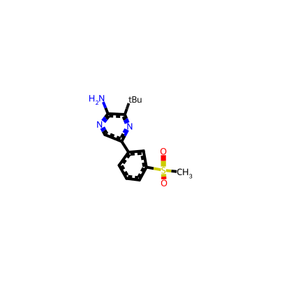 CC(C)(C)c1nc(-c2cccc(S(C)(=O)=O)c2)cnc1N